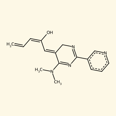 C=C/C=C(O)\C=C1/CN=C(c2cccnc2)N=C1N(C)C